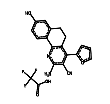 N#Cc1c(N)nc2c(c1-c1ccco1)CCc1cc(O)ccc1-2.O=C(O)C(F)(F)F